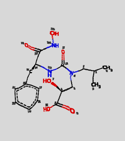 CC(C)CN(C[C@H](O)C(=O)O)C(=O)N[C@@H](Cc1ccccc1)C(=O)NO